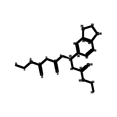 CCOC(=O)CC(=O)C[C@@H](CC(=O)OCC)c1ccc2c(c1)OCO2